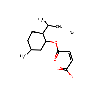 CC1CCC(C(C)C)C(OC(=O)/C=C\C(=O)[O-])C1.[Na+]